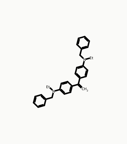 C=C(c1ccc(N(CC)Cc2ccccc2)cc1)c1ccc(N(CC)Cc2ccccc2)cc1